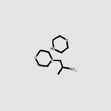 C1COCCN1.CC(CN1CCOCC1)[N+](=O)[O-]